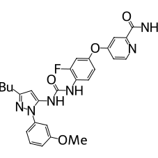 COc1cccc(-n2nc(C(C)(C)C)cc2NC(=O)Nc2ccc(Oc3ccnc(C(N)=O)c3)cc2F)c1